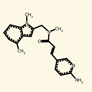 Cc1cccc2c1cc(CN(C)C(=O)C=Cc1ccc(N)nc1)n2C